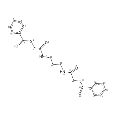 O=C(CSC(=O)c1ccccc1)NCCCNC(=O)CSC(=O)c1ccccc1